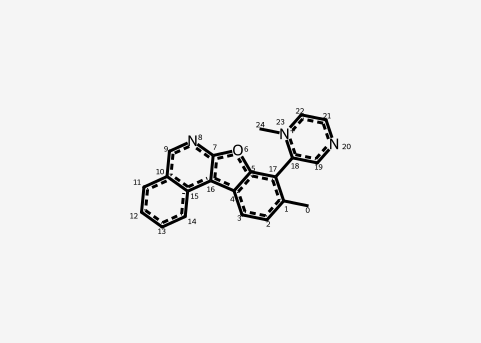 Cc1ccc2c(oc3ncc4ccccc4c32)c1-c1cncc[n+]1C